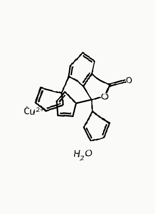 O.O=C1OC(C2C=CC=C2)(C2C=CC=C2)c2c1cccc2C1C=CC=C1.[Cu+2]